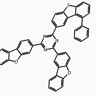 c1ccc(-c2cccc3sc4ccc(-c5nc(-c6ccc7c(c6)oc6ccccc67)nc(-c6ccc7oc8ccccc8c7c6)n5)cc4c23)cc1